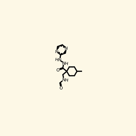 CC1CCC(CNC=O)(C(=O)NNc2cnccn2)CC1